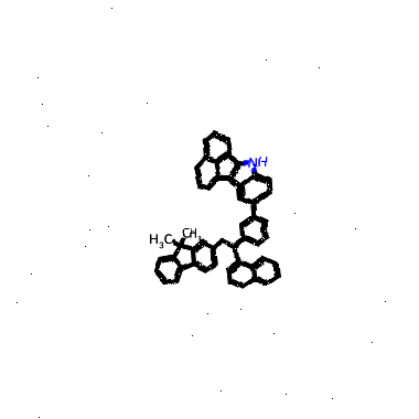 CC1(C)c2ccccc2-c2ccc(CC(c3cccc(-c4ccc5[nH]c6c(c5c4)-c4cccc5cccc-6c45)c3)c3cccc4ccccc34)cc21